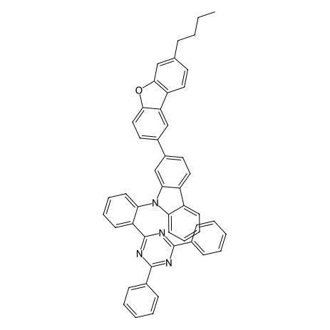 CCCCc1ccc2c(c1)oc1ccc(-c3ccc4c5ccccc5n(-c5ccccc5-c5nc(-c6ccccc6)nc(-c6ccccc6)n5)c4c3)cc12